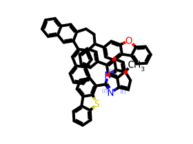 CC1C/C=C(c2cccc(-c3ccccc3)c2)/N=C(c2cccc3c2sc2ccccc23)\N=C/1c1cc(C2CCc3cc4ccccc4cc3-c3cc4ccccc4cc32)cc2oc3ccccc3c12